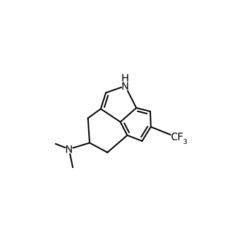 CN(C)C1Cc2c[nH]c3cc(C(F)(F)F)cc(c23)C1